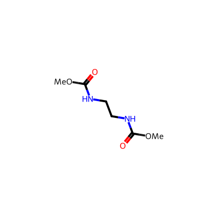 COC(=O)NCCNC(=O)OC